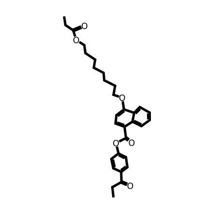 CCC(=O)OCCCCCCCCOc1ccc(C(=O)Oc2ccc(C(=O)CC)cc2)c2ccccc12